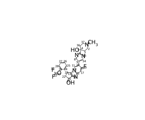 CN1CCC(O)(c2ncc(-c3cn4c5c(nc4cc3F)[C@H](O)C[C@@H]5c3ccccc3OC(F)F)cn2)CC1